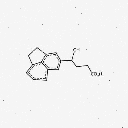 O=C(O)CCC(O)c1cc2c3c(cccc3c1)CC2